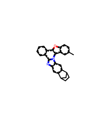 Cc1ccc2oc3c4ccccc4c4nc5cc6c(cc5n4c3c2c1)C1CCC6C1